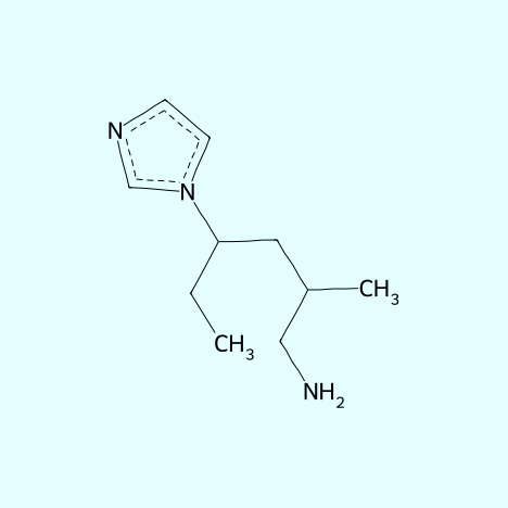 CCC(CC(C)CN)n1ccnc1